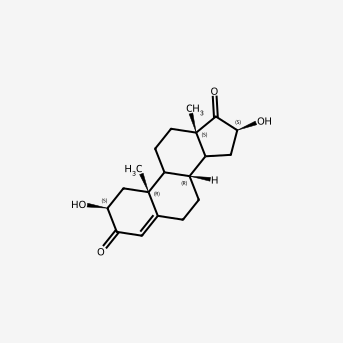 C[C@]12C[C@H](O)C(=O)C=C1CC[C@@H]1C2CC[C@]2(C)C(=O)[C@@H](O)CC12